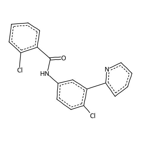 O=C(Nc1ccc(Cl)c(-c2ccccn2)c1)c1ccccc1Cl